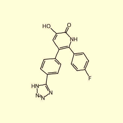 O=c1[nH]c(-c2ccc(F)cc2)c(-c2ccc(-c3nnn[nH]3)cc2)cc1O